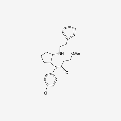 COCCC(=O)N(c1ccc(Cl)cc1)C1CCCC1NCCc1ccccc1